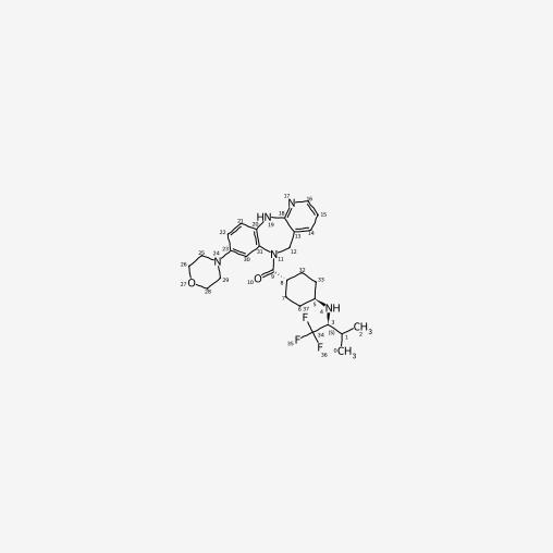 CC(C)[C@H](N[C@H]1CC[C@H](C(=O)N2Cc3cccnc3Nc3ccc(N4CCOCC4)cc32)CC1)C(F)(F)F